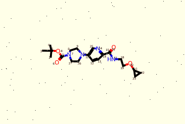 CC(C)(C)OC(=O)N1CCN(c2ccc(C(=O)NCCOC3CC3)nc2)CC1